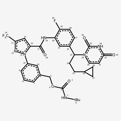 CC(C)(C)NC(=O)OCc1cccc(-n2nc(C(F)(F)F)cc2C(=O)Nc2cc(C(CCC3CC3)n3ccc(=O)[nH]c3=O)ccc2F)c1